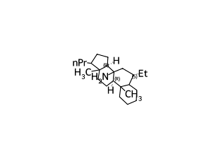 CCCC1CC[C@@H]2C1(C)CC[C@@H]1C3(C)CCCCC3[C@@H](CC)CC21N